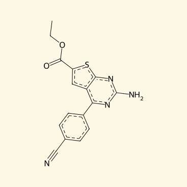 CCOC(=O)c1cc2c(-c3ccc(C#N)cc3)nc(N)nc2s1